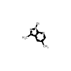 CCn1nc(C)c2cc(C)cnc21